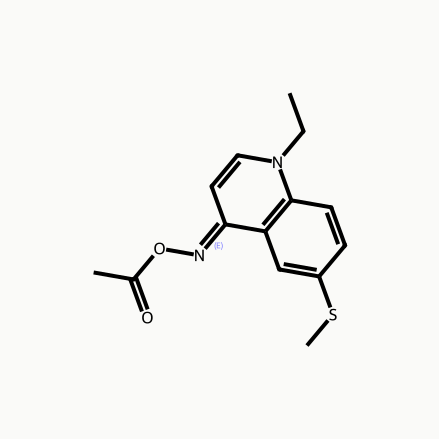 CCn1cc/c(=N\OC(C)=O)c2cc(SC)ccc21